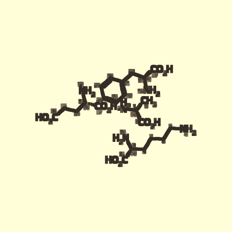 C[C@H](N)C(=O)O.NCCCC[C@H](N)C(=O)O.N[C@@H](CCC(=O)O)C(=O)O.N[C@@H](Cc1ccccc1)C(=O)O